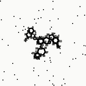 F[C@H]1CN2CCC[C@@]2(COc2nc3c(c(N4CCCn5nncc5C4)n2)COC2(CCc4ccc(Br)cc42)C3)C1